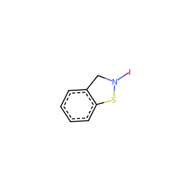 IN1Cc2ccccc2S1